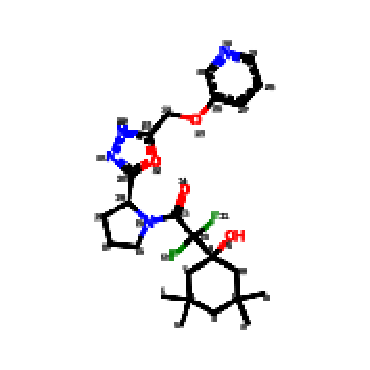 CC1(C)CC(C)(C)CC(O)(C(F)(F)C(=O)N2CCC[C@H]2c2nnc(COc3cccnc3)o2)C1